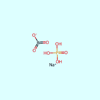 O=P(O)(O)O.[Na+].[O]=[Bi](=[O])[O-]